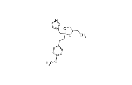 CCC1COC(CCc2ccc(OC)cc2)(Cn2ccnc2)O1